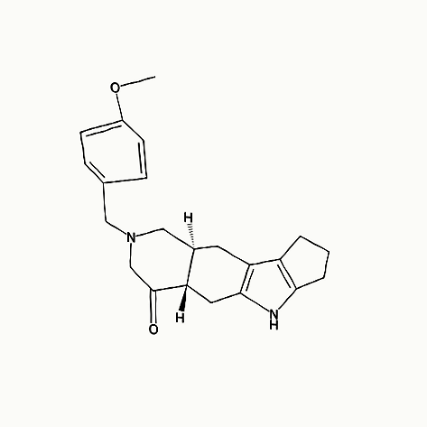 COc1ccc(CN2CC(=O)[C@H]3Cc4[nH]c5c(c4C[C@@H]3C2)CCC5)cc1